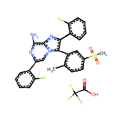 Cc1ccc(S(C)(=O)=O)cc1-c1c(-c2ccccc2F)nc2c(N)nc(-c3ccccc3F)cn12.O=C(O)C(F)(F)F